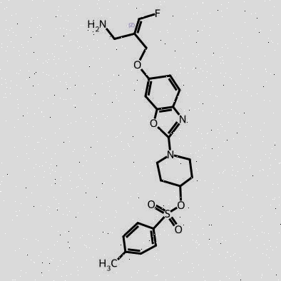 Cc1ccc(S(=O)(=O)OC2CCN(c3nc4ccc(OC/C(=C\F)CN)cc4o3)CC2)cc1